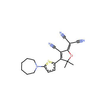 CC1(C)OC(=C(C#N)C#N)C(C#N)=C1c1ccc(N2CCCCCC2)s1